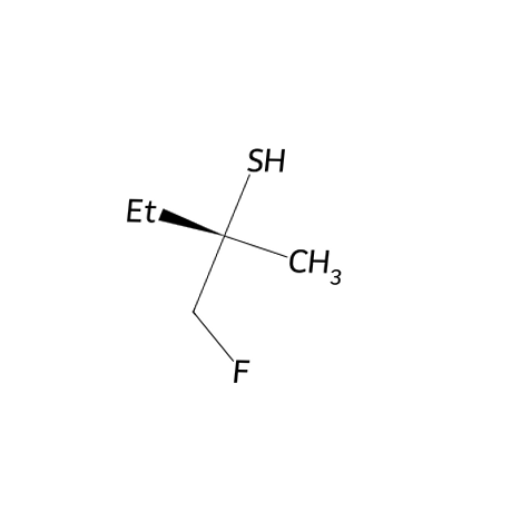 CC[C@](C)(S)CF